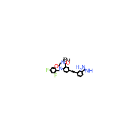 CCC(C)N1CC(=O)N(Cc2ccc(F)cc2F)c2ccc(C#Cc3cccc(C(=N)N)c3)cc2C1=O